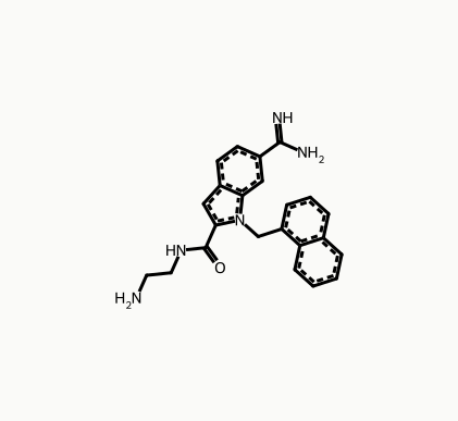 N=C(N)c1ccc2cc(C(=O)NCCN)n(Cc3cccc4ccccc34)c2c1